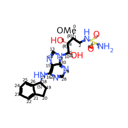 CO[C@H](CNS(N)(=O)=O)[C@@H](O)[C@@H](O)n1cnc2c(N[C@H]3CCc4ccccc43)ncnc21